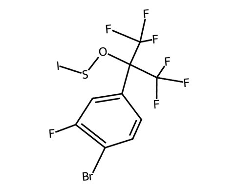 Fc1cc(C(OSI)(C(F)(F)F)C(F)(F)F)ccc1Br